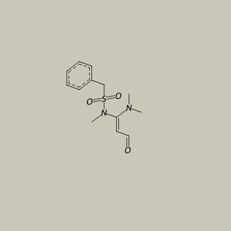 CN(C)C(=CC=O)N(C)S(=O)(=O)Cc1ccccc1